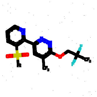 CCS(=O)(=O)c1cccnc1-c1cc(C(F)(F)F)c(OCC(F)(F)C(F)(F)F)nn1